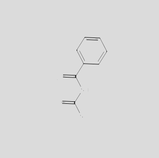 C=C(NC(N)=O)c1ccccc1